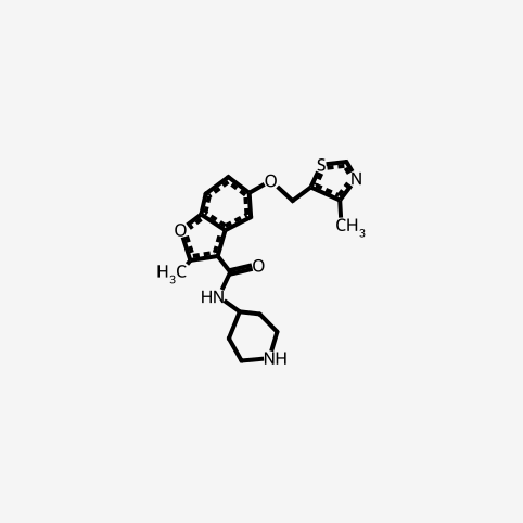 Cc1ncsc1COc1ccc2oc(C)c(C(=O)NC3CCNCC3)c2c1